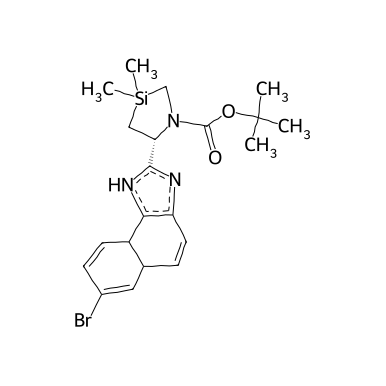 CC(C)(C)OC(=O)N1C[Si](C)(C)C[C@H]1c1nc2c([nH]1)C1C=CC(Br)=CC1C=C2